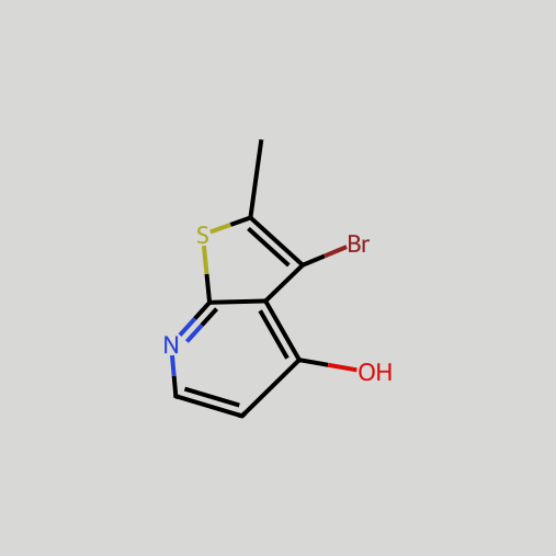 Cc1sc2nccc(O)c2c1Br